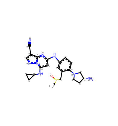 C[S+]([O-])Cc1cc(Nc2cc(NC3CC3)n3ncc(C#N)c3n2)ccc1N1CC[C@@H](N)C1